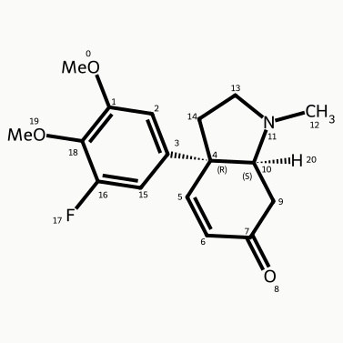 COc1cc([C@@]23C=CC(=O)C[C@@H]2N(C)CC3)cc(F)c1OC